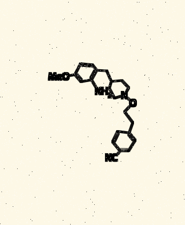 COc1ccc(CC2CCN(OCCc3ccc(C#N)cc3)CC2)c(N)c1